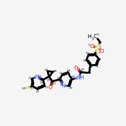 CCS(=O)(=O)c1ccc(CC(=O)Nc2ccc(C(=O)C3(c4ccc(F)cn4)CC3)nc2)cc1